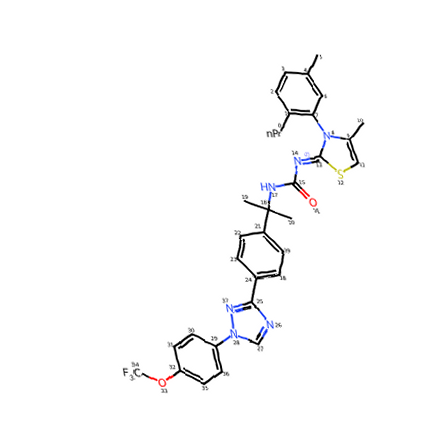 CCCc1ccc(C)cc1-n1c(C)cs/c1=N\C(=O)NC(C)(C)c1ccc(-c2ncn(-c3ccc(OC(F)(F)F)cc3)n2)cc1